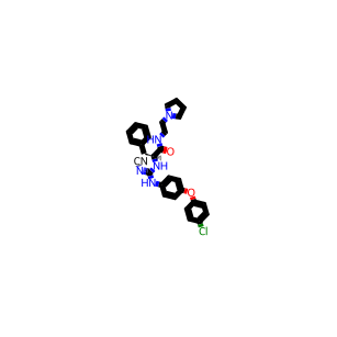 N#C/N=C(/Nc1ccc(Oc2ccc(Cl)cc2)cc1)N[C@H](Cc1ccccc1)C(=O)NCCN1CCCC1